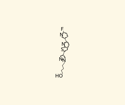 OCCCCCn1cc(-c2cc3ccc(-c4ccc(F)nc4)nc3s2)cn1